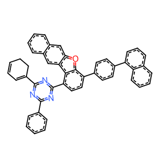 C1=CCCC(c2nc(-c3ccccc3)nc(-c3ccc(-c4ccc(-c5cccc6ccccc56)cc4)c4oc5cc6ccccc6cc5c34)n2)=C1